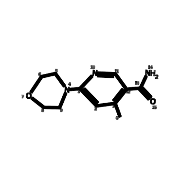 Cc1cc(N2CCOCC2)ncc1C(N)=O